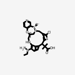 CCN(N)c1ccc2c(C)c1NC[C@@H]1CN(Cc3cc(sc3Cl)C2C(C)(C)C(=O)O)[S+]([O-])c2cnccc2O1